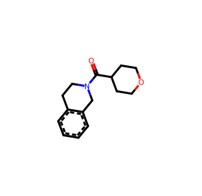 O=C(C1CCOCC1)N1CCc2ccccc2C1